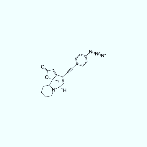 [N-]=[N+]=Nc1ccc(C#CC2=C[C@@H]3C[C@@]4(OC(=O)C=C24)C2CCCCN23)cc1